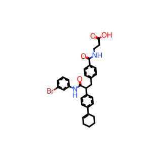 O=C(O)CCNC(=O)c1ccc(CC(C(=O)Nc2cccc(Br)c2)c2ccc(C3=CCCCC3)cc2)cc1